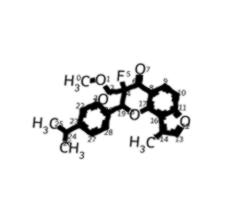 COC(=O)C1(F)C(=O)c2ccc3occ(C)c3c2OC1c1ccc(C(C)C)cc1